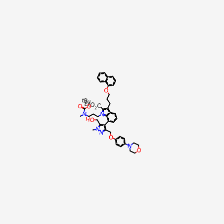 CCOC(=O)c1c(CCCOc2cccc3ccccc23)c2cccc(-c3c(COc4ccc(N5CCOCC5)cc4)nn(C)c3CO)c2n1CCCN(C)C(=O)OC(C)(C)C